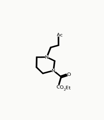 CCOC(=O)C(=O)N1CCCN(CCC(C)=O)C1